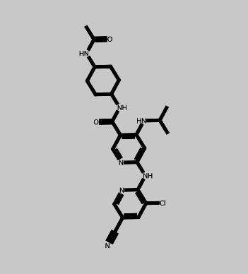 CC(=O)NC1CCC(NC(=O)c2cnc(Nc3ncc(C#N)cc3Cl)cc2NC(C)C)CC1